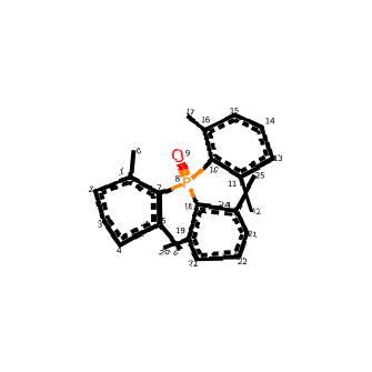 Cc1cccc(C)c1P(=O)(c1c(C)cccc1C)c1c(C)cccc1C